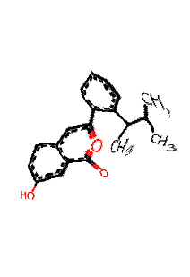 CC(C)C(C)c1ccccc1-c1cc2ccc(O)cc2c(=O)o1